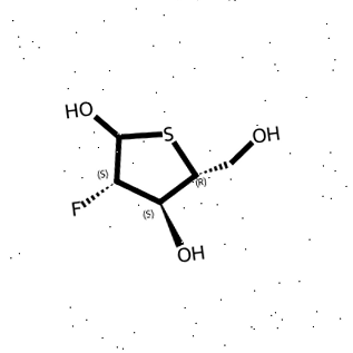 OC[C@H]1SC(O)[C@@H](F)[C@@H]1O